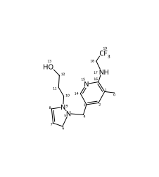 Cc1cc(CN2CC=CN2CCCO)cnc1NCC(F)(F)F